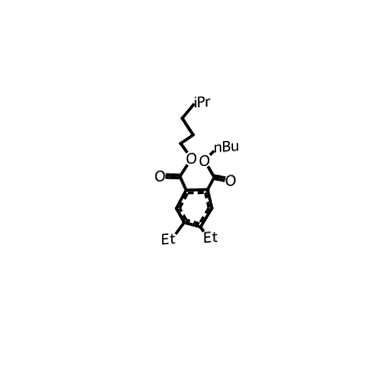 CCCCOC(=O)c1cc(CC)c(CC)cc1C(=O)OCCCC(C)C